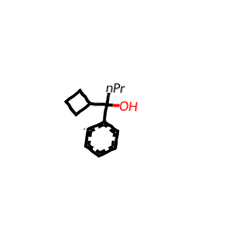 CCCC(O)(c1[c]cccc1)C1CCC1